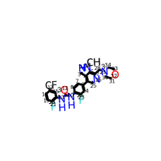 Cn1ncc2c(-c3ccc(NC(=O)Nc4cc(C(F)(F)F)ccc4F)c(F)c3)cnc(CN3CCOCC3)c21